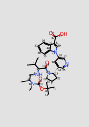 CC(C)[C@H](NC[C@H](C)N(C)C(=O)OC(C)(C)C)C(=O)N1CCC[C@H]1c1cncc(-n2cc(C(=O)O)c3ccccc32)c1